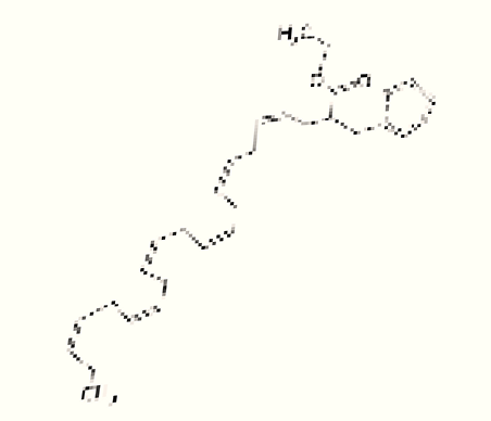 CC/C=C\C/C=C\C/C=C\C/C=C\C/C=C\C/C=C\CC(Cc1ccccc1)C(=O)OCC